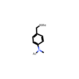 CNCc1ccc(N(C)C(C)=O)cc1